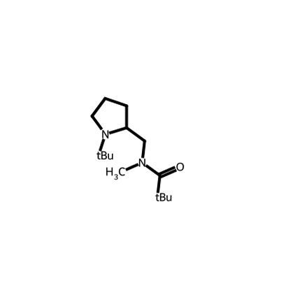 CN(CC1CCCN1C(C)(C)C)C(=O)C(C)(C)C